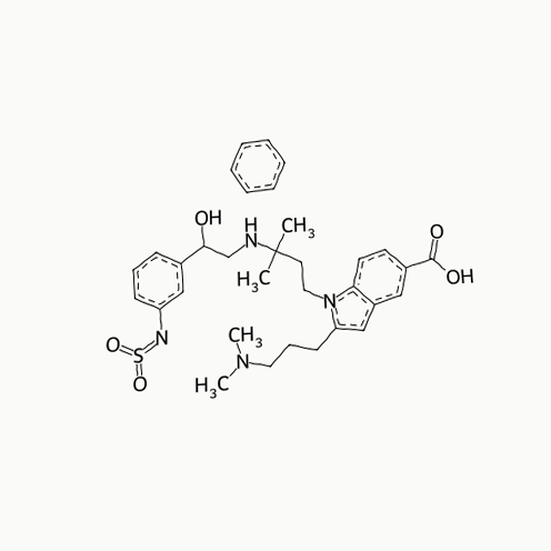 CN(C)CCCc1cc2cc(C(=O)O)ccc2n1CCC(C)(C)NCC(O)c1cccc(N=S(=O)=O)c1.c1ccccc1